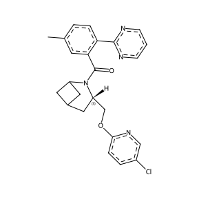 Cc1ccc(-c2ncccn2)c(C(=O)N2C3CC(C3)C[C@H]2COc2ccc(Cl)cn2)c1